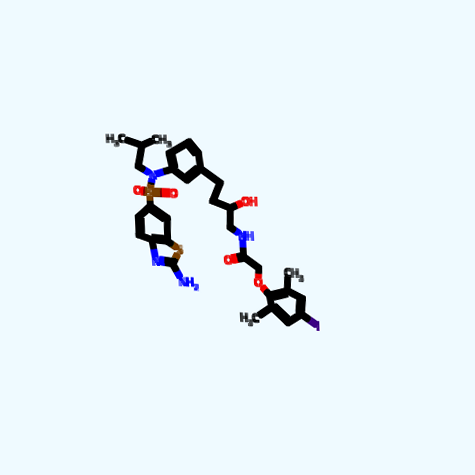 Cc1cc(I)cc(C)c1OCC(=O)NCC(O)CCc1cccc(N(CC(C)C)S(=O)(=O)c2ccc3nc(N)sc3c2)c1